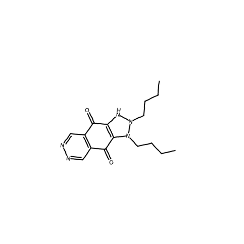 CCCCn1[nH]c2c(=O)c3cnncc3c(=O)c=2n1CCCC